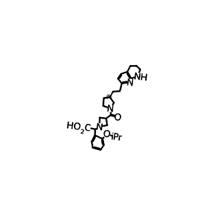 CC(C)Oc1ccccc1C(C(=O)O)N1CC(C(=O)N2CC[C@@H](CCc3ccc4c(n3)NCCC4)C2)C1